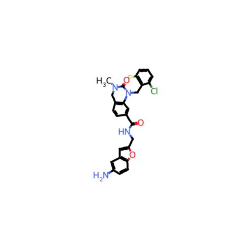 CN1Cc2ccc(C(=O)NCc3cc4cc(N)ccc4o3)cc2N(Cc2c(F)cccc2Cl)C1=O